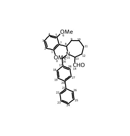 COc1cccc(OC)c1C1CCCCC(C=O)N1Cc1ccc(-c2ccccc2)cc1